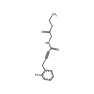 CCOC(=O)CNC(=O)C#CCc1ccccc1F